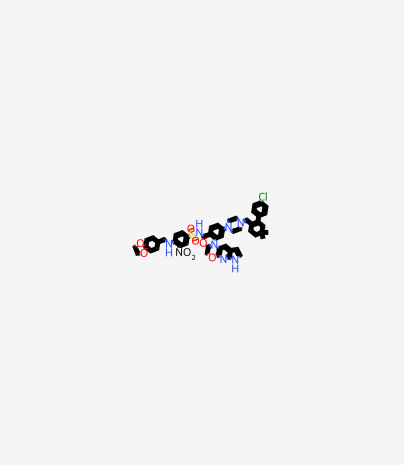 CC1(C)CCC(CN2CCN(c3ccc(C(=O)NS(=O)(=O)c4ccc(NCC5CCC6(CC5)OCCO6)c([N+](=O)[O-])c4)c(N4CCOc5nc6[nH]ccc6cc54)c3)CC2)=C(c2ccc(Cl)cc2)C1